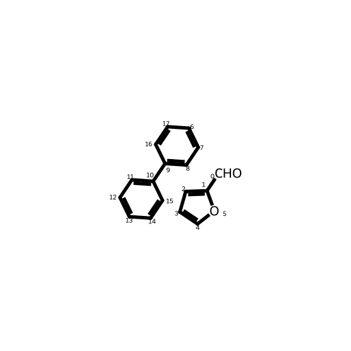 O=Cc1ccco1.c1ccc(-c2ccccc2)cc1